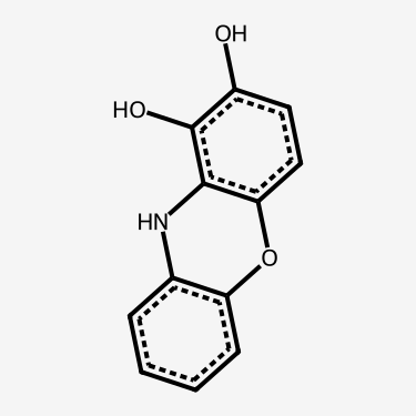 Oc1ccc2c(c1O)Nc1ccccc1O2